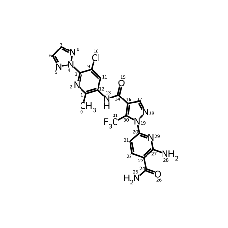 Cc1nc(-n2nccn2)c(Cl)cc1NC(=O)c1cnn(-c2ccc(C(N)=O)c(N)n2)c1C(F)(F)F